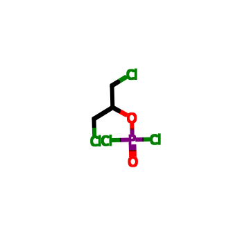 O=P(Cl)(Cl)OC(CCl)CCl